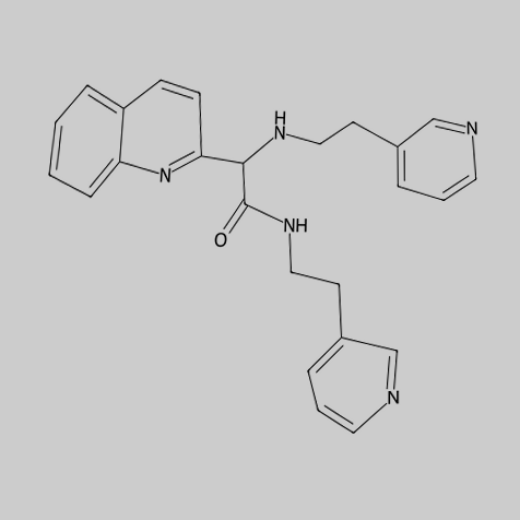 O=C(NCCc1cccnc1)C(NCCc1cccnc1)c1ccc2ccccc2n1